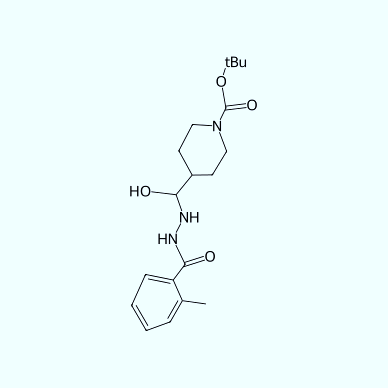 Cc1ccccc1C(=O)NNC(O)C1CCN(C(=O)OC(C)(C)C)CC1